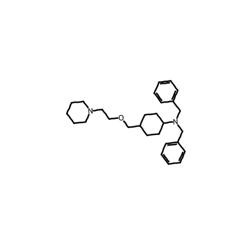 c1ccc(CN(Cc2ccccc2)C2CCC(COCCN3CCCCC3)CC2)cc1